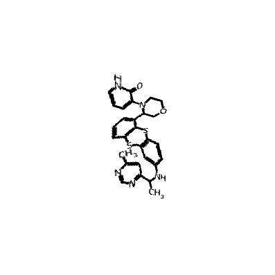 Cc1cc(C(C)Nc2ccc3c(c2)Sc2cccc(C4COCCN4c4ccc[nH]c4=O)c2S3)ncn1